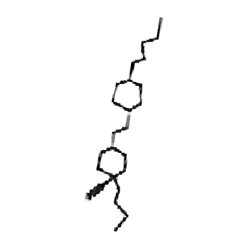 CCCCC[C@H]1CC[C@H](CC[C@H]2CC[C@@](C#N)(CCCC)CC2)CC1